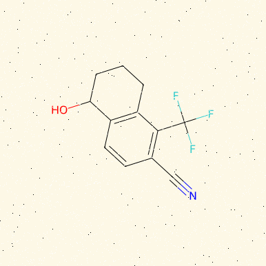 N#Cc1ccc2c(c1C(F)(F)F)CCCC2O